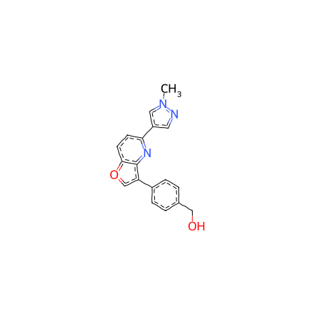 Cn1cc(-c2ccc3occ(-c4ccc(CO)cc4)c3n2)cn1